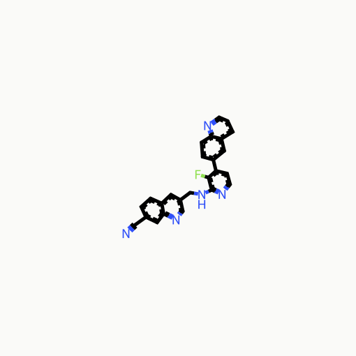 N#Cc1ccc2cc(CNc3nccc(-c4ccc5ncccc5c4)c3F)cnc2c1